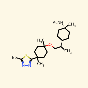 CCc1nnc(C2(C)CCC(C)(OCC(C)[C@H]3CC[C@@](C)(NC(C)=O)CC3)CC2)s1